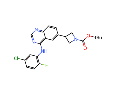 CC(C)(C)OC(=O)N1CC(c2ccc3ncnc(Nc4cc(Cl)ccc4F)c3c2)C1